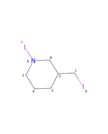 ICC1CCCN(I)C1